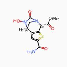 COC(=O)[C@@H]1c2sc(C(N)=O)cc2[C@@H]2CN1C(=O)N2O